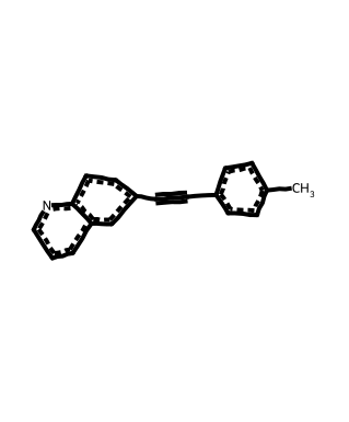 Cc1ccc(C#Cc2ccc3ncccc3c2)cc1